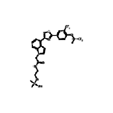 C[C@H](Oc1ccc(-c2nc(-c3cccc4c3ccn4CC(=O)NCCO[Si](C)(C)C(C)(C)C)no2)cc1C(F)(F)F)C(F)(F)F